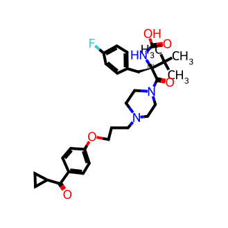 CC(C)(C)[C@@](Cc1ccc(F)cc1)(NC(=O)O)C(=O)N1CCN(CCCOc2ccc(C(=O)C3CC3)cc2)CC1